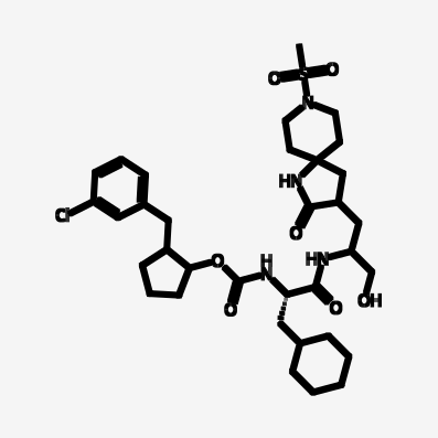 CS(=O)(=O)N1CCC2(CC1)CC(CC(CO)NC(=O)[C@H](CC1CCCCC1)NC(=O)OC1CCCC1Cc1cccc(Cl)c1)C(=O)N2